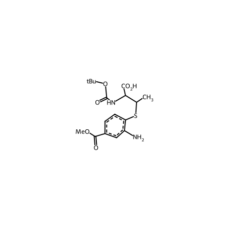 COC(=O)c1ccc(SC(C)C(NC(=O)OC(C)(C)C)C(=O)O)c(N)c1